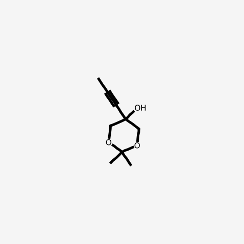 CC#CC1(O)COC(C)(C)OC1